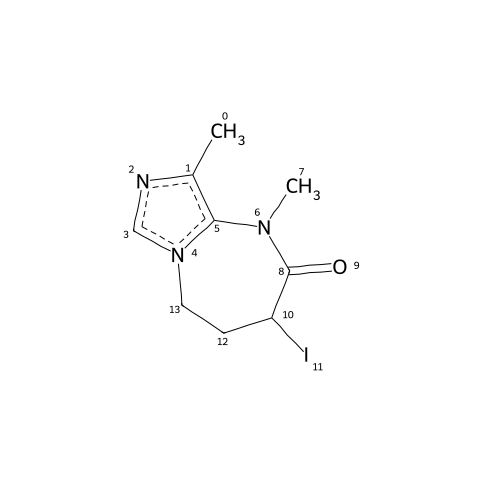 Cc1ncn2c1N(C)C(=O)C(I)CC2